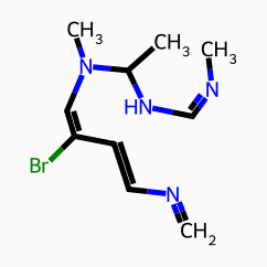 C=N/C=C/C(Br)=C\N(C)C(C)N/C=N\C